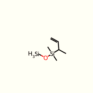 C=CC(C)[Si](C)(C)O[SiH3]